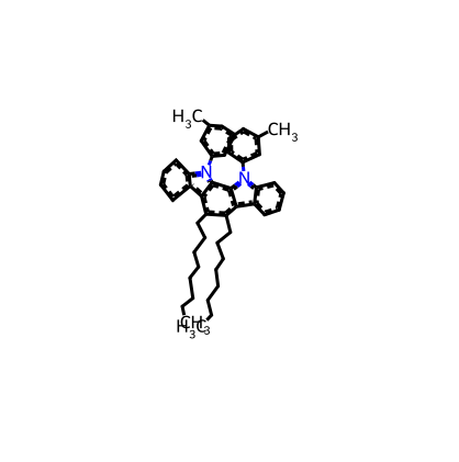 CCCCCCCCc1c(CCCCCCCC)c2c3ccccc3n(-c3cccc(C)c3)c2c2c1c1ccccc1n2-c1cccc(C)c1